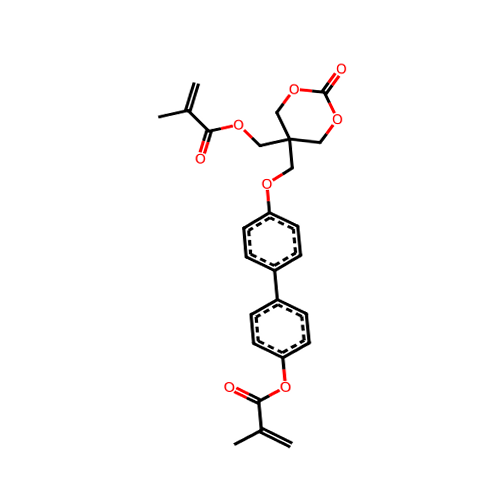 C=C(C)C(=O)OCC1(COc2ccc(-c3ccc(OC(=O)C(=C)C)cc3)cc2)COC(=O)OC1